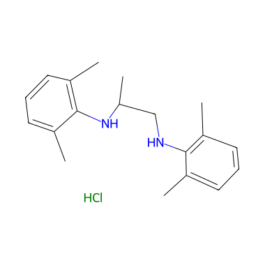 Cc1cccc(C)c1NCC(C)Nc1c(C)cccc1C.Cl